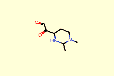 CC1NC(C(=O)C=O)CCN1C